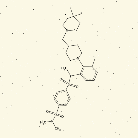 CC(c1cccc(F)c1N1CCC(CN2CCC(F)(F)CC2)CC1)S(=O)(=O)c1ccc(S(=O)(=O)N(C)C)cc1